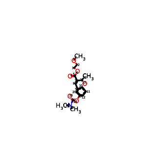 COCCOC(=O)/C(=C/c1cccc(OC(=O)N(C)C)c1)C(C)=O